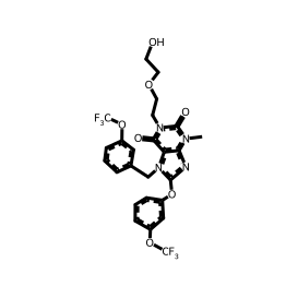 Cn1c(=O)n(CCOCCO)c(=O)c2c1nc(Oc1cccc(OC(F)(F)F)c1)n2Cc1cccc(OC(F)(F)F)c1